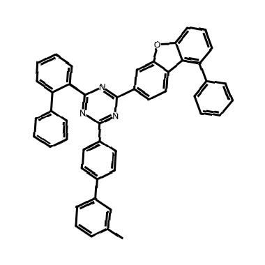 Cc1cccc(-c2ccc(-c3nc(-c4ccc5c(c4)oc4cccc(-c6ccccc6)c45)nc(-c4ccccc4-c4ccccc4)n3)cc2)c1